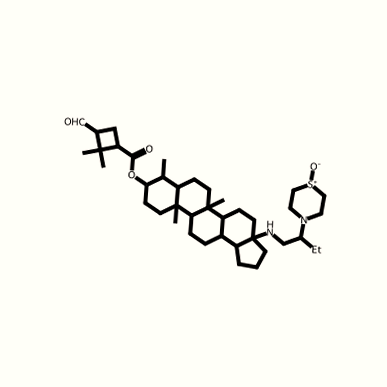 CCC(CNC12CCCC1C1CCC3C4(C)CCC(OC(=O)C5CC(C=O)C5(C)C)C(C)C4CCC3(C)C1CC2)N1CC[S+]([O-])CC1